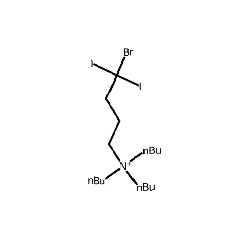 CCCC[N+](CCCC)(CCCC)CCCC(Br)(I)I